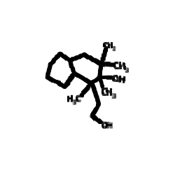 CC1(C)CC2CCCCC2C(C)(CCO)C1(C)O